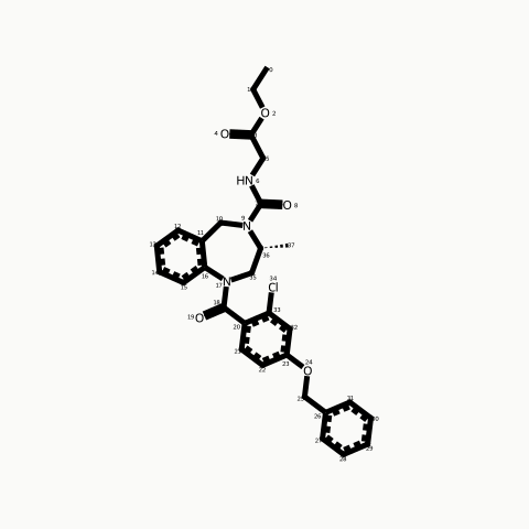 CCOC(=O)CNC(=O)N1Cc2ccccc2N(C(=O)c2ccc(OCc3ccccc3)cc2Cl)C[C@H]1C